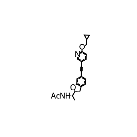 CC(=O)N[C@@H](C)[C@@H]1Cc2ccc(C#Cc3ccc(OCC4CC4)nc3)cc2O1